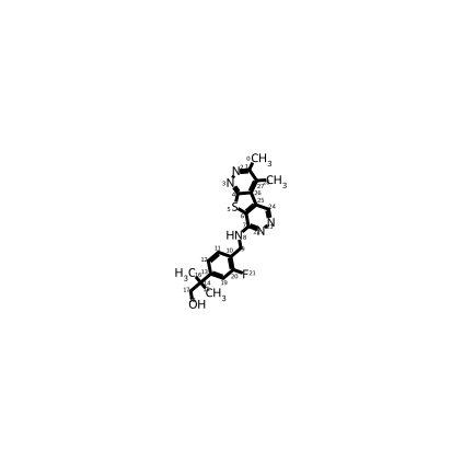 Cc1nnc2sc3c(NCc4ccc(C(C)(C)CO)cc4F)nncc3c2c1C